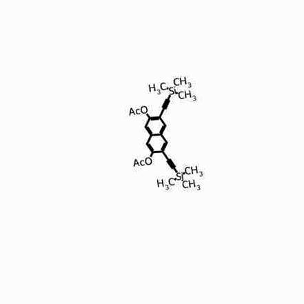 CC(=O)Oc1cc2cc(OC(C)=O)c(C#C[Si](C)(C)C)cc2cc1C#C[Si](C)(C)C